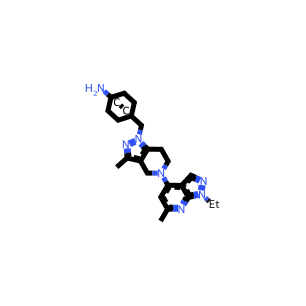 CCn1ncc2c(N3CCc4c(c(C)nn4CC45CCC(N)(CC4)CC5)C3)cc(C)nc21